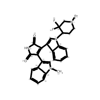 CCN1CCC(n2cc(C3=C(c4cn(C)c5ccccc45)C(=O)NC3=O)c3ccccc32)C(F)(F)C1